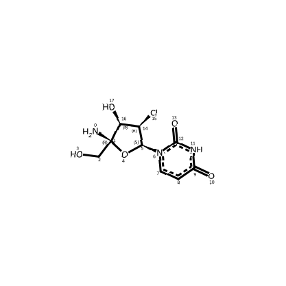 N[C@]1(CO)O[C@H](n2ccc(=O)[nH]c2=O)[C@H](Cl)[C@@H]1O